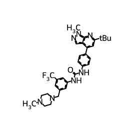 CN1CCN(Cc2cc(NC(=O)Nc3ccc(-c4cc(C(C)(C)C)nc5c4cnn5C)cc3)cc(C(F)(F)F)c2)CC1